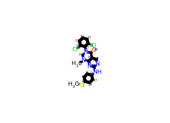 CSc1ccc(Nc2ncc3c(n2)N(C)CN(c2c(Cl)cccc2Cl)C3=O)cc1